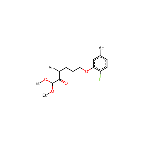 CCOC(OCC)C(=O)C(CCCOc1cc(C(C)=O)ccc1F)C(C)=O